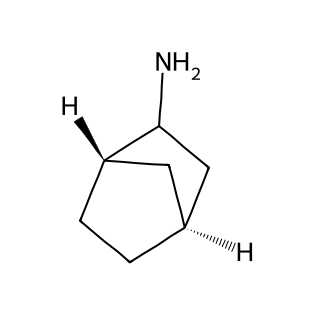 NC1C[C@H]2CC[C@H]1C2